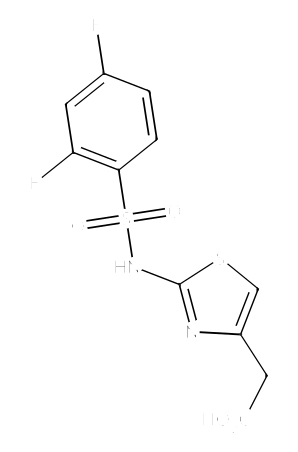 O=C(O)Cc1csc(NS(=O)(=O)c2ccc(F)cc2F)n1